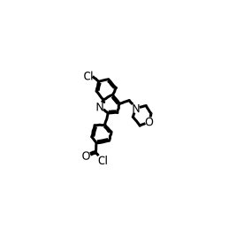 O=C(Cl)c1ccc(-c2cc(CN3CCOCC3)c3ccc(Cl)cc3n2)cc1